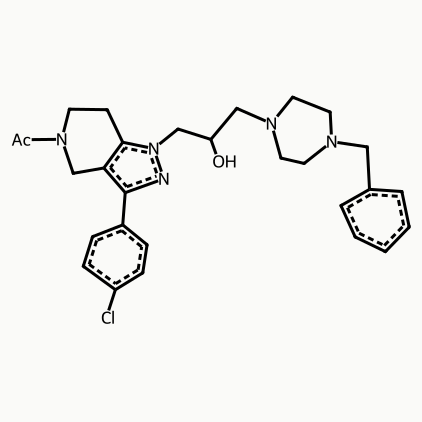 CC(=O)N1CCc2c(c(-c3ccc(Cl)cc3)nn2CC(O)CN2CCN(Cc3ccccc3)CC2)C1